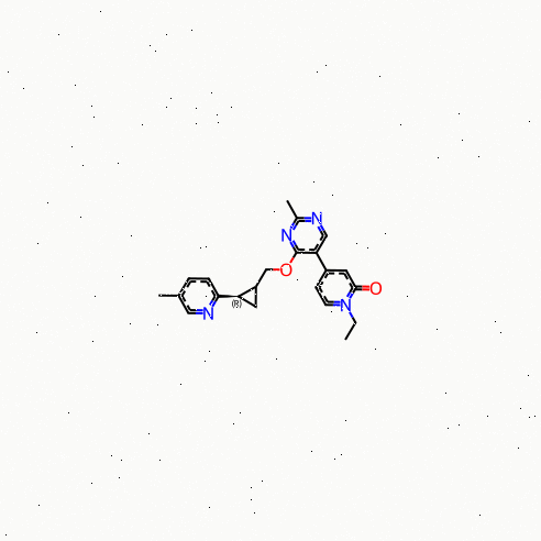 CCn1ccc(-c2cnc(C)nc2OCC2C[C@H]2c2ccc(C)cn2)cc1=O